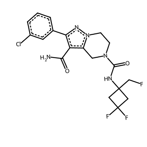 NC(=O)c1c(-c2cccc(Cl)c2)nn2c1CN(C(=O)NC1(CF)CC(F)(F)C1)CC2